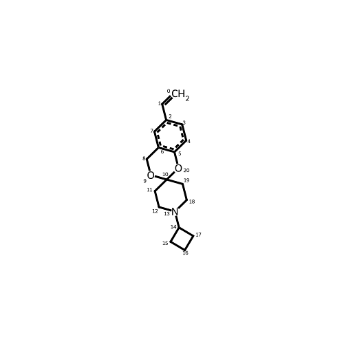 C=Cc1ccc2c(c1)COC1(CCN(C3CCC3)CC1)O2